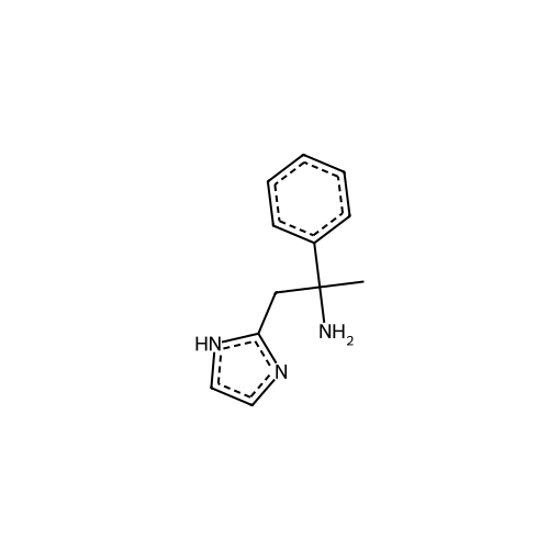 CC(N)(Cc1ncc[nH]1)c1ccccc1